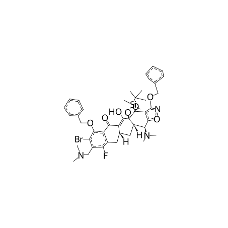 CN(C)Cc1c(F)c2c(c(OCc3ccccc3)c1Br)C(=O)C1=C(O)[C@]3(O[Si](C)(C)C(C)(C)C)C(=O)c4c(OCc5ccccc5)noc4[C@@H](N(C)C)[C@@H]3C[C@@H]1C2